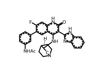 CC(=O)Nc1cccc(-c2cc3c(N[C@H]4CN5CCC4CC5)c(-c4nc5ccccc5[nH]4)c(=O)[nH]c3cc2F)c1